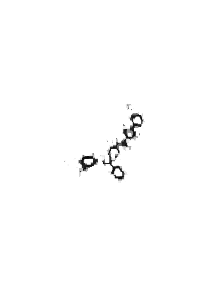 N#Cc1ccc(OCC(c2ccccc2)N2CCC(NC(=O)c3cnc(-c4cccc(F)c4)nc3)CC2)cc1F